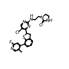 Cc1cnc(F)cc1-c1cccc2c1SC(c1nc(NCCN3CCNC3=O)ncc1Cl)C2